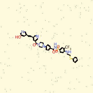 O=C(NS(=O)(=O)c1ccc(NCCSc2ccccc2)c(C(F)(F)F)c1)c1ccc(N2CCN(C(=O)c3cncc(C#Cc4cncc(O)c4)c3)CC2)cc1